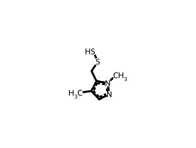 Cc1cnn(C)c1CSS